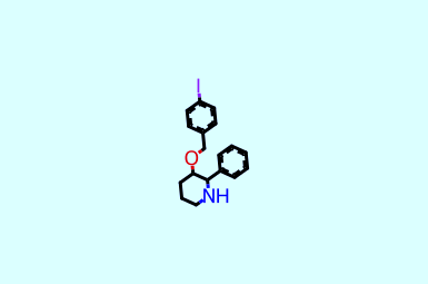 Ic1ccc(COC2CCCNC2c2ccccc2)cc1